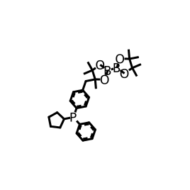 CC1(C)OB(B2OC(C)(C)C(C)(Cc3ccc(P(c4ccccc4)C4CCCC4)cc3)O2)OC1(C)C